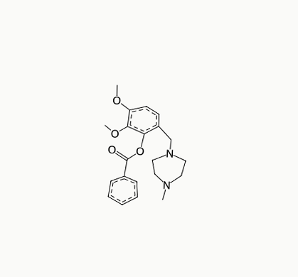 COc1ccc(CN2CCN(C)CC2)c(OC(=O)c2ccccc2)c1OC